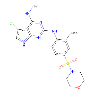 CCCNc1nc(Nc2ccc(S(=O)(=O)N3CCOCC3)cc2OC)nc2[nH]cc(Cl)c12